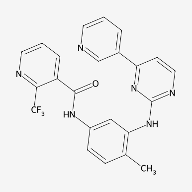 Cc1ccc(NC(=O)c2cccnc2C(F)(F)F)cc1Nc1nccc(-c2cccnc2)n1